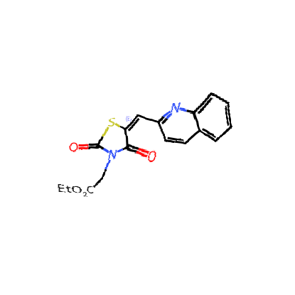 CCOC(=O)CN1C(=O)S/C(=C/c2ccc3ccccc3n2)C1=O